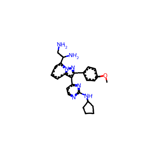 COc1ccc(-c2nn3c(C(N)CN)cccc3c2-c2ccnc(NC3CCCC3)n2)cc1